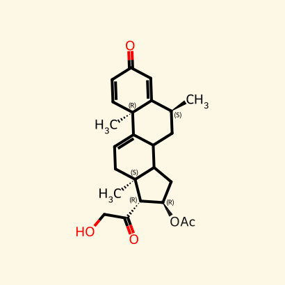 CC(=O)O[C@@H]1CC2C3C[C@H](C)C4=CC(=O)C=C[C@]4(C)C3=CC[C@]2(C)[C@H]1C(=O)CO